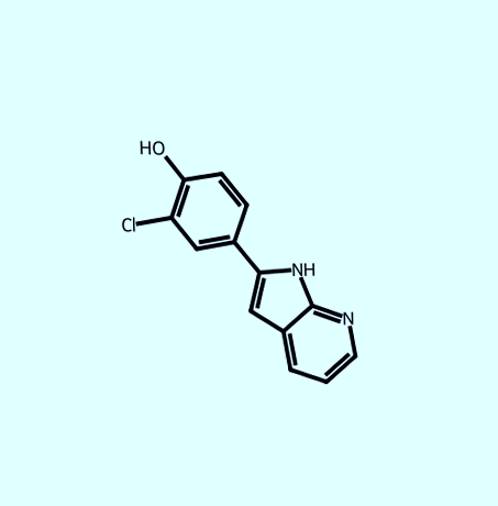 Oc1ccc(-c2cc3cccnc3[nH]2)cc1Cl